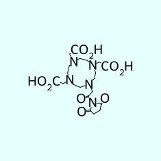 O=C(O)CN1CCN(CC(=O)O)CCN(CC(=O)N2C(=O)CCC2=O)CCN(CC(=O)O)CC1